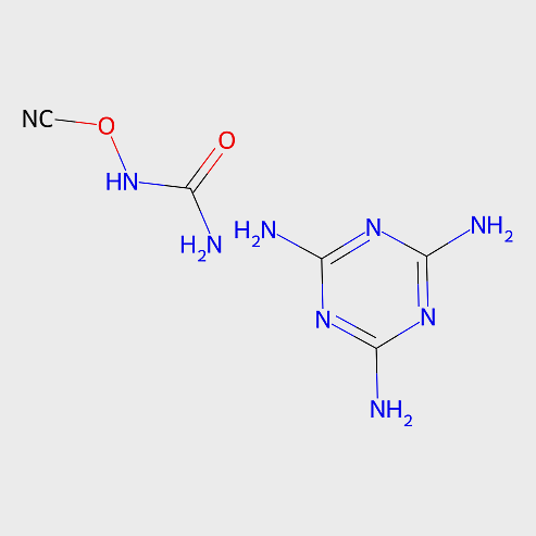 N#CONC(N)=O.Nc1nc(N)nc(N)n1